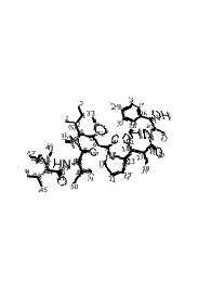 CC[C@H](C)C(C(CC(=O)N1CCCC1C(OC)C(C)C(=O)NC(C)C(O)c1ccccc1)OC)N(C)C(=O)[C@@H](NC(=O)[C@H](C(C)C)N(C)C)C(C)C